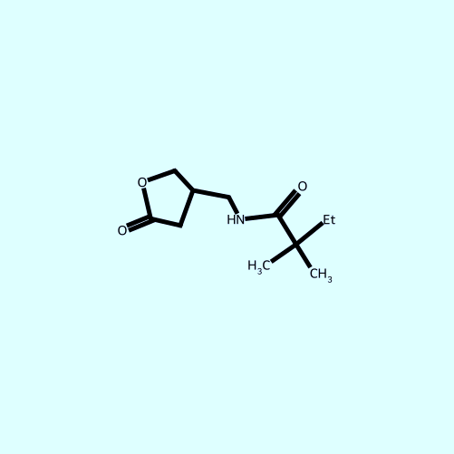 CCC(C)(C)C(=O)NCC1COC(=O)C1